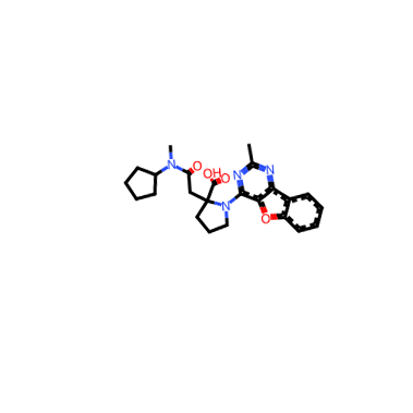 Cc1nc(N2CCCC2(CC(=O)N(C)C2CCCC2)C(=O)O)c2oc3ccccc3c2n1